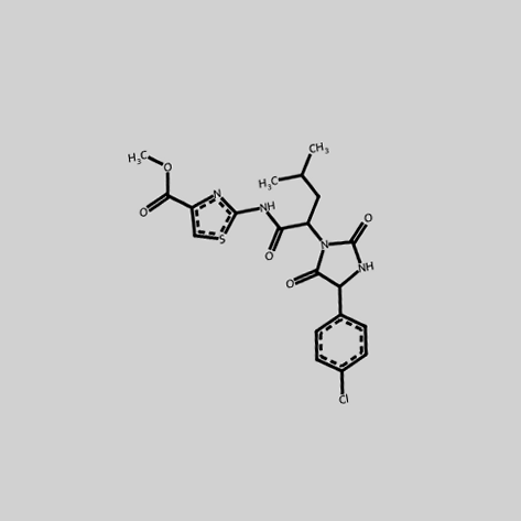 COC(=O)c1csc(NC(=O)C(CC(C)C)N2C(=O)NC(c3ccc(Cl)cc3)C2=O)n1